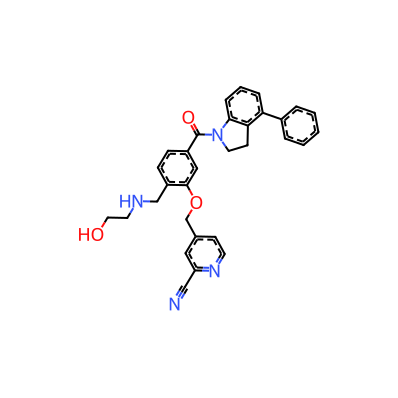 N#Cc1cc(COc2cc(C(=O)N3CCc4c(-c5ccccc5)cccc43)ccc2CNCCO)ccn1